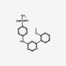 COc1ccccc1-c1cc(Nc2ccc(S(N)(=O)=O)cc2)ncn1